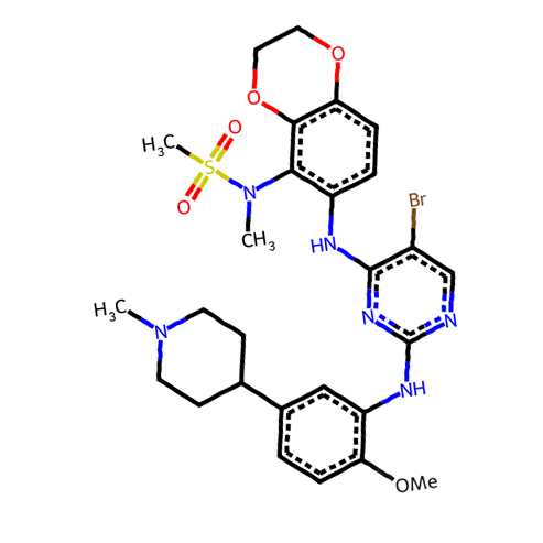 COc1ccc(C2CCN(C)CC2)cc1Nc1ncc(Br)c(Nc2ccc3c(c2N(C)S(C)(=O)=O)OCCO3)n1